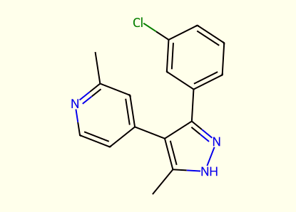 Cc1cc(-c2c(-c3cccc(Cl)c3)n[nH]c2C)ccn1